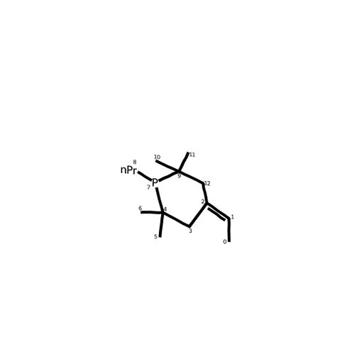 CC=C1CC(C)(C)P(CCC)C(C)(C)C1